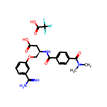 CN(C)C(=O)c1ccc(C(=O)N[C@@H](COc2cccc(C(=N)N)c2)CC(=O)O)cc1.O=C(O)C(F)(F)F